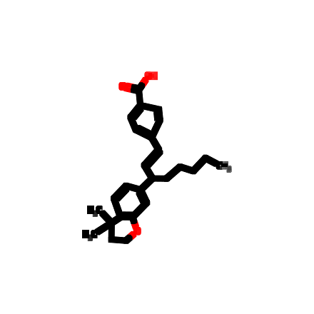 CCCCCC(/C=C/c1ccc(C(=O)O)cc1)c1ccc2c(c1)OCCC2(C)C